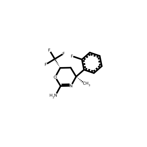 C[C@@]1(c2ccccc2F)C[C@@H](C(F)(F)F)OC(N)=N1